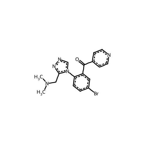 CN(C)Cc1nncn1-c1ccc(Br)cc1C(=O)c1ccncc1